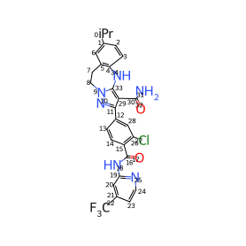 CC(C)c1ccc2c(c1)CCn1nc(-c3ccc(C(=O)Nc4cc(C(F)(F)F)ccn4)c(Cl)c3)c(C(N)=O)c1N2